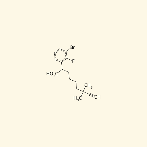 C#CC(C)(C)CCCCC(C(=O)O)c1cccc(Br)c1F